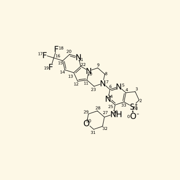 [O-][S@+]1CCc2nc(N3CCn4c(cc5cc(C(F)(F)F)cnc54)C3)nc(NC3CCOCC3)c21